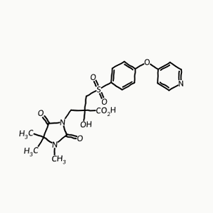 CN1C(=O)N(CC(O)(CS(=O)(=O)c2ccc(Oc3ccncc3)cc2)C(=O)O)C(=O)C1(C)C